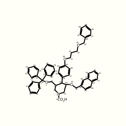 O=C(O)N1CC(COC(c2ccccc2)(c2ccccc2)c2ccccc2)C(c2ccc(OCCCOCc3ccccc3)cc2)C(OCc2ccc3ccccc3c2)C1